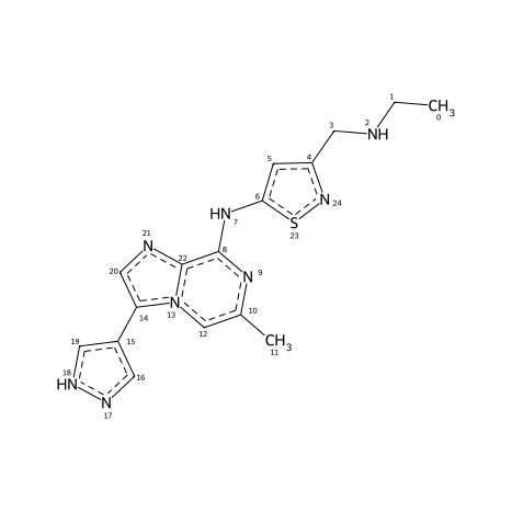 CCNCc1cc(Nc2nc(C)cn3c(-c4cn[nH]c4)cnc23)sn1